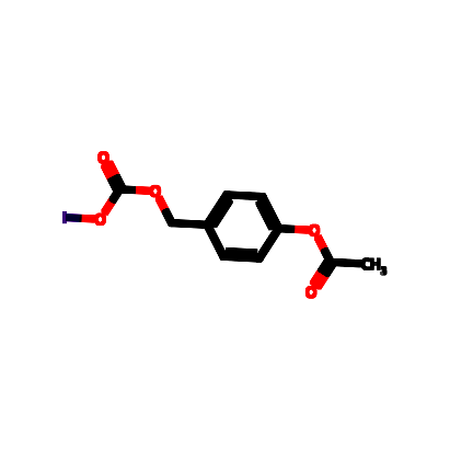 CC(=O)Oc1ccc(COC(=O)OI)cc1